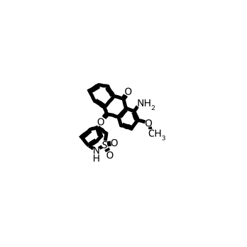 COc1ccc2c(c1N)C(=O)c1ccccc1C2=O.O=S1(=O)Cc2ccc(cc2)N1